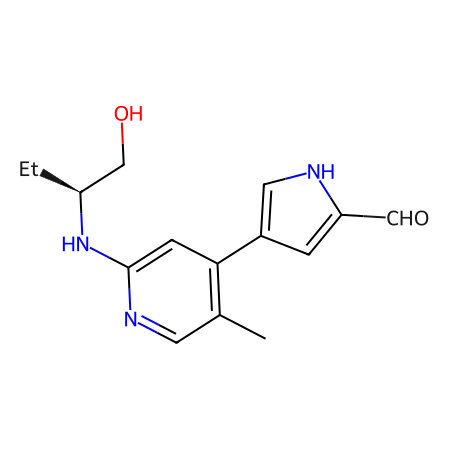 CC[C@@H](CO)Nc1cc(-c2c[nH]c(C=O)c2)c(C)cn1